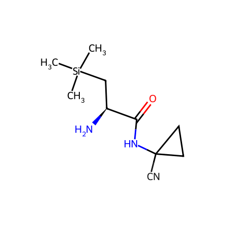 C[Si](C)(C)C[C@H](N)C(=O)NC1(C#N)CC1